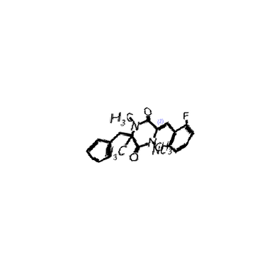 CN1C(=O)C(C)(Cc2ccccc2)N(C)C(=O)/C1=C/c1c(F)cccc1C#N